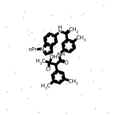 C=C(Nc1ccc2c(ccn2CCC)c1)c1cc(NC(=O)C(c2cc(C)cc(C)c2)C(C)(O)Cl)ccc1C